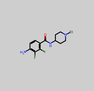 CCN1CCC(NC(=O)c2ccc(N)c(F)c2F)CC1